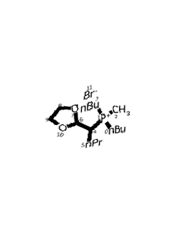 CCCC[P+](C)(CCCC)C(CCC)C1OCCO1.[Br-]